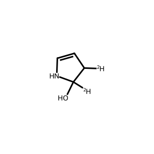 [2H]C1C=CNC1([2H])O